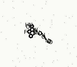 O=c1[nH]ccc2c3nc(N4CCC(=NOCCN5CCOCC5)CC4)n(Cc4ccccc4)c3c3ccc(F)cc3c12